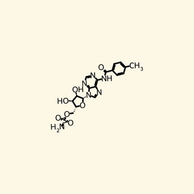 Cc1ccc(C(=O)Nc2ncnc3c2ncn3[C@@H]2O[C@H](COS(N)(=O)=O)[C@@H](O)[C@H]2O)cc1